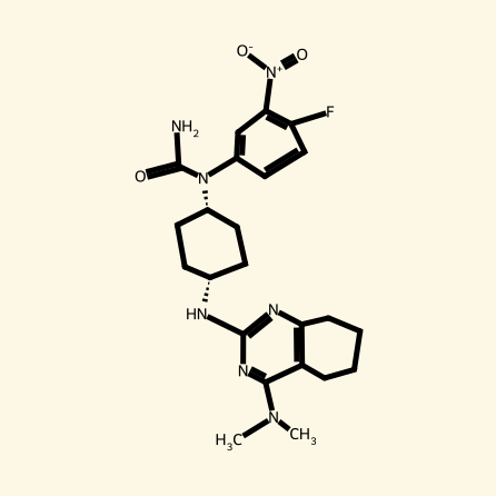 CN(C)c1nc(N[C@H]2CC[C@@H](N(C(N)=O)c3ccc(F)c([N+](=O)[O-])c3)CC2)nc2c1CCCC2